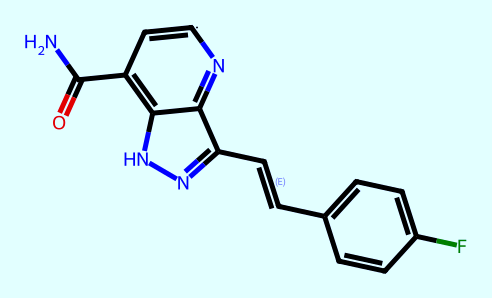 NC(=O)c1c[c]nc2c(/C=C/c3ccc(F)cc3)n[nH]c12